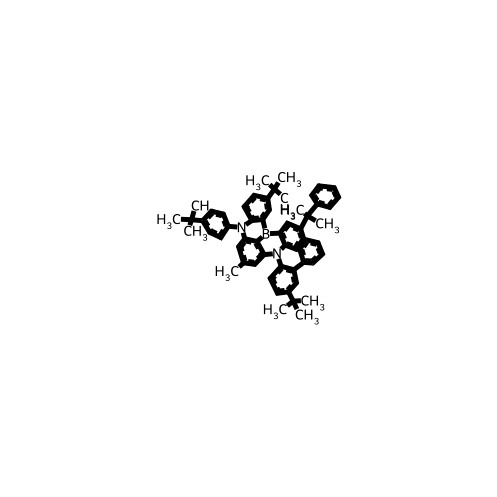 Cc1cc2c3c(c1)N(c1ccc(C(C)(C)C)cc1-c1ccccc1)c1ccc(C(C)(C)c4ccccc4)cc1B3c1cc(C(C)(C)C)ccc1N2c1ccc(C(C)(C)C)cc1